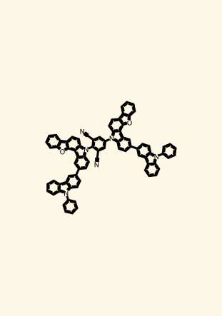 N#Cc1cc(-n2c3ccc(-c4ccc5c(c4)c4ccccc4n5-c4ccccc4)cc3c3c4oc5ccccc5c4ccc32)cc(C#N)c1-n1c2ccc(-c3ccc4c(c3)c3ccccc3n4-c3ccccc3)cc2c2c3oc4ccccc4c3ccc21